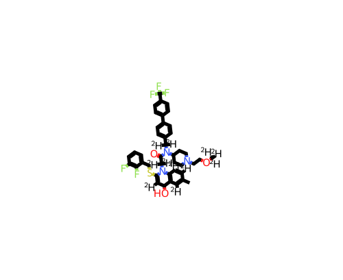 [2H]C1=C(SCc2cccc(F)c2F)N(C([2H])([2H])C(=O)N(C2CCN(CCOC([2H])([2H])[2H])CC2)C([2H])([2H])c2ccc(-c3ccc(C(F)(F)F)cc3)cc2)c2c([2H])c([2H])c(C)c([2H])c2C1O